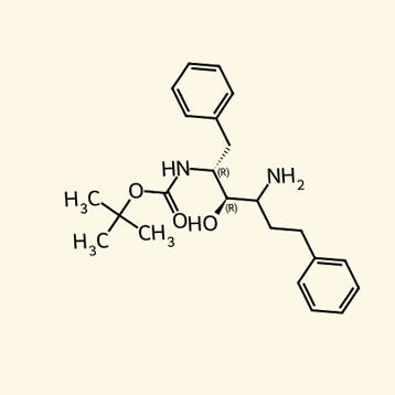 CC(C)(C)OC(=O)N[C@H](Cc1ccccc1)[C@H](O)C(N)CCc1ccccc1